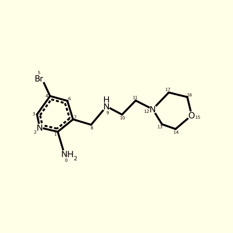 Nc1ncc(Br)cc1CNCCN1CCOCC1